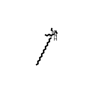 CCCCCCCCCCCCCCCC[C@H](CCC)c1[nH]cc[n+]1CC